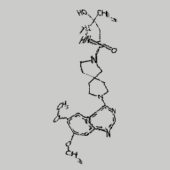 COc1cc2ncnc(N3CCC4(CC3)CCN(S(=N)(=O)CC(C)(C)O)C4)c2cc1OC